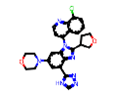 Clc1cccc2c(-n3c(C4CCOC4)nc4c(-c5nnc[nH]5)cc(N5CCOCC5)cc43)ccnc12